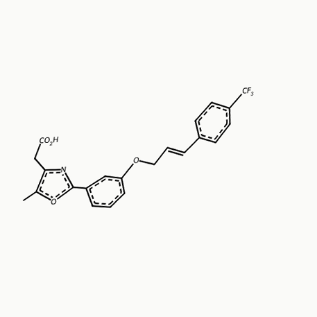 Cc1oc(-c2cccc(OC/C=C/c3ccc(C(F)(F)F)cc3)c2)nc1CC(=O)O